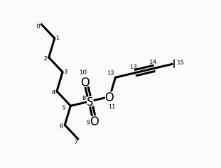 CCCCCC(CC)S(=O)(=O)OCC#CI